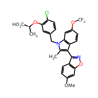 COc1ccc2c(-c3c(C)n(Cc4ccc(Cl)c(O[C@@H](C)C(=O)O)c4)c4cc(OC(F)(F)F)ccc34)noc2c1